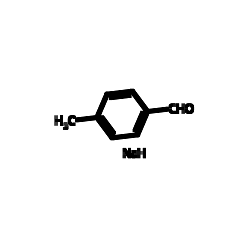 Cc1ccc(C=O)cc1.[NaH]